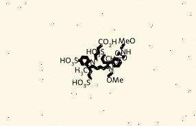 COCCNS(=O)(=O)c1ccc2c(c1)C(C)(CCCS(=O)(=O)O)/C(=C\C=C\C1=[N+](CCCCCC(=O)O)c3ccc(S(=O)(=O)O)cc3C1(C)CCCS(=O)(=O)O)N2CCOC